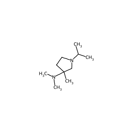 CC(C)N1CCC(C)(N(C)C)C1